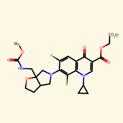 CCOC(=O)COC(=O)c1cn(C2CC2)c2c(F)c(N3CC4CCOC4(CNC(=O)OC(C)(C)C)C3)c(F)cc2c1=O